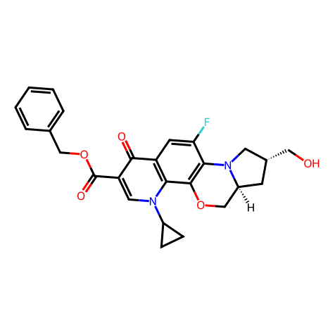 O=C(OCc1ccccc1)c1cn(C2CC2)c2c3c(c(F)cc2c1=O)N1C[C@H](CO)C[C@H]1CO3